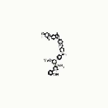 CO[C@@H]1C[C@H](c2ccc(C(=O)N3CCC(F)(CN4CCC(n5cc(C)c6cc(N7CCC(=O)NC7=O)ccc65)CC4)CC3)cc2)CN(c2cc(-c3ccccc3O)nnc2N)C1